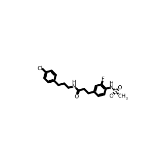 CS(=O)(=O)Nc1ccc(CCC(=O)NCCCc2ccc(Cl)cc2)cc1F